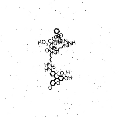 N=C(N)NCCCCC(=O)NC(CCCCNC(=S)Nc1ccc(-c2c3ccc(=O)cc-3oc3cc(O)ccc23)c(C(=O)O)c1)C(=O)NCC(NC(=O)C1CCCN1S(=O)(=O)c1ccccc1)C(=O)O